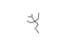 CCC(CC)(COC)NC